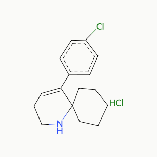 Cl.Clc1ccc(C2=CCCNC23CCCCC3)cc1